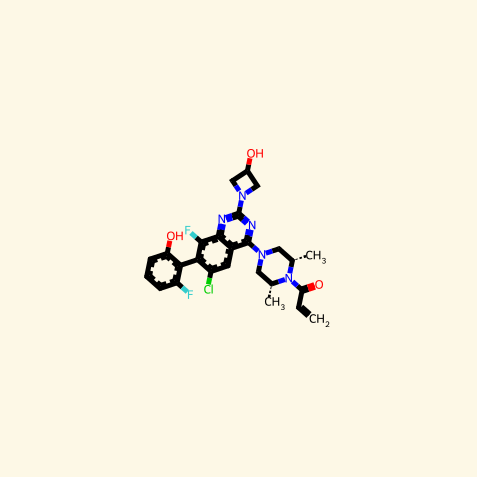 C=CC(=O)N1[C@H](C)CN(c2nc(N3CC(O)C3)nc3c(F)c(-c4c(O)cccc4F)c(Cl)cc23)C[C@@H]1C